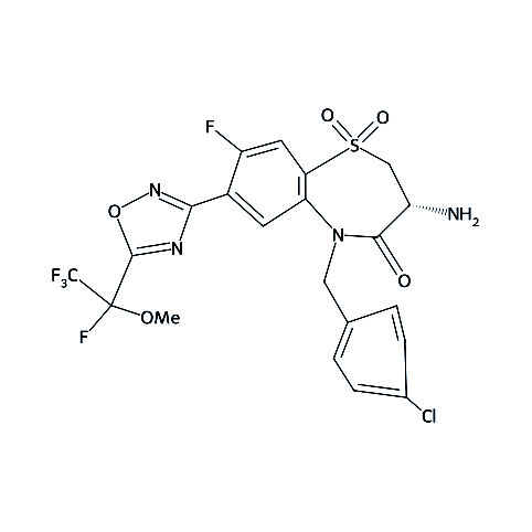 COC(F)(c1nc(-c2cc3c(cc2F)S(=O)(=O)C[C@H](N)C(=O)N3Cc2ccc(Cl)cc2)no1)C(F)(F)F